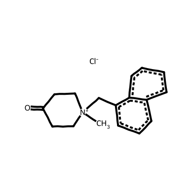 C[N+]1(Cc2cccc3ccccc23)CCC(=O)CC1.[Cl-]